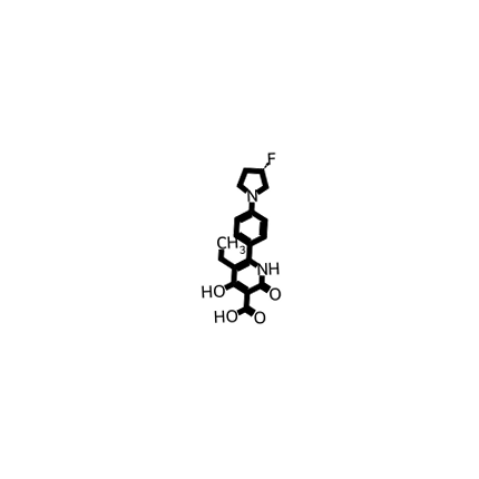 CCc1c(-c2ccc(N3CC[C@H](F)C3)cc2)[nH]c(=O)c(C(=O)O)c1O